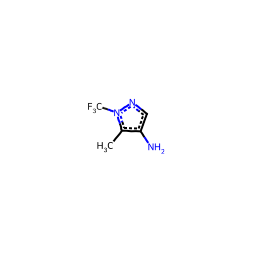 Cc1c(N)cnn1C(F)(F)F